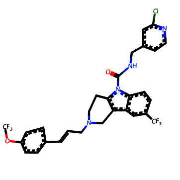 O=C(NCc1ccnc(Cl)c1)n1c2c(c3cc(C(F)(F)F)ccc31)CN(CC=Cc1ccc(OC(F)(F)F)cc1)CC2